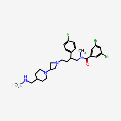 CN(CC(CCN1CC(N2CCC(CNC(=O)O)CC2)C1)c1ccc(F)cc1)C(=O)c1cc(Br)cc(Br)c1